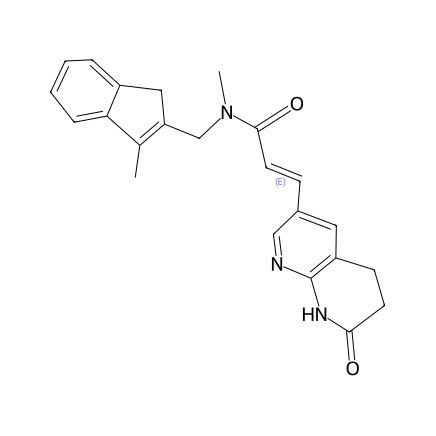 CC1=C(CN(C)C(=O)/C=C/c2cnc3c(c2)CCC(=O)N3)Cc2ccccc21